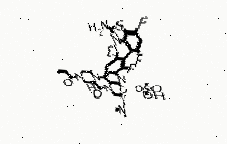 C=CC(=O)N1CCN2c3c4c(nc5c(F)c(-c6c(F)cc(F)c7sc(N)nc67)c(Cl)cc35)O[C@H](CN(C)C)CN4C(=O)[C@H]2C1.CS(=O)(=O)O